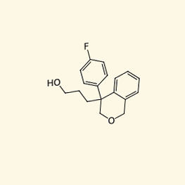 OCCCC1(c2ccc(F)cc2)COCc2ccccc21